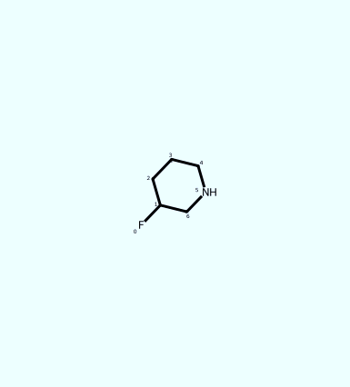 FC1C[CH]CNC1